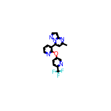 Cc1cc(-c2cccnc2Oc2ccc(C(F)(F)F)nc2)n2nccc2n1